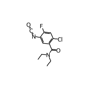 CCN(CC)C(=O)c1cc(N=C=O)c(F)cc1Cl